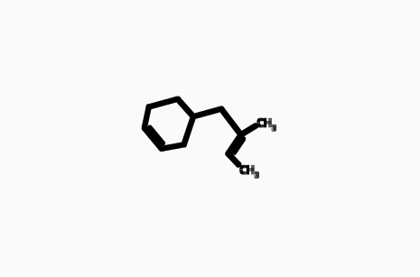 CC=C(C)CC1CC=CCC1